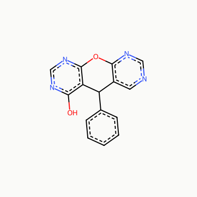 Oc1ncnc2c1C(c1ccccc1)c1cncnc1O2